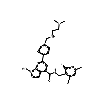 Cc1cc(C)c(CNC(=O)c2cc(-c3ccc(CNCCN(C)C)cc3)nc3c2cnn3C(C)C)c(=O)[nH]1